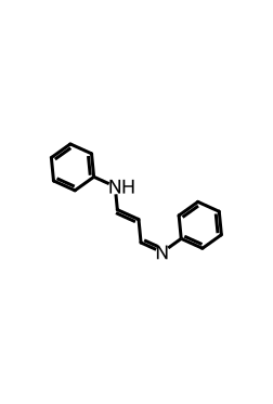 C(/C=C/Nc1ccccc1)=N/c1ccccc1